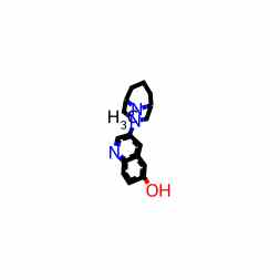 CN1C2CCCC1CN(c1cnc3ccc(O)cc3c1)C2